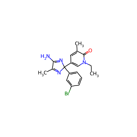 CCn1cc(C2(c3cccc(Br)c3)N=C(C)C(N)=N2)cc(C)c1=O